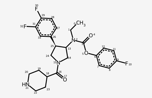 CCN(C(=O)Oc1ccc(F)cc1)C1CN(C(=O)C2CCNCC2)C[C@H]1c1ccc(F)c(F)c1